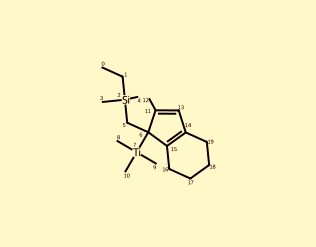 CC[Si](C)(C)C[C]1([Ti]([CH3])([CH3])[CH3])C(C)=CC2=C1CCCC2